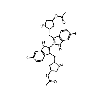 CC(=O)O[C@@H]1CNC(Cc2c(-c3[nH]c4cc(F)ccc4c3C[C@@H]3C[C@H](OC(C)=O)CN3)[nH]c3cc(F)ccc23)C1